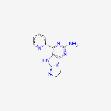 Nc1nc(-c2ccccn2)c2c(n1)N1CCN=C1N2